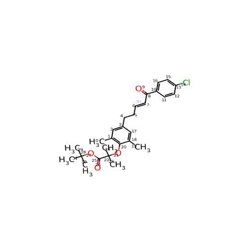 Cc1cc(CC/C=C/C(=O)c2ccc(Cl)cc2)cc(C)c1OC(C)(C)C(=O)OC(C)(C)C